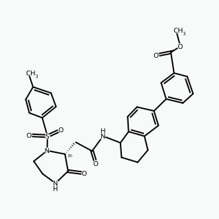 COC(=O)c1cccc(-c2ccc3c(c2)CCCC3NC(=O)C[C@@H]2C(=O)NCCN2S(=O)(=O)c2ccc(C)cc2)c1